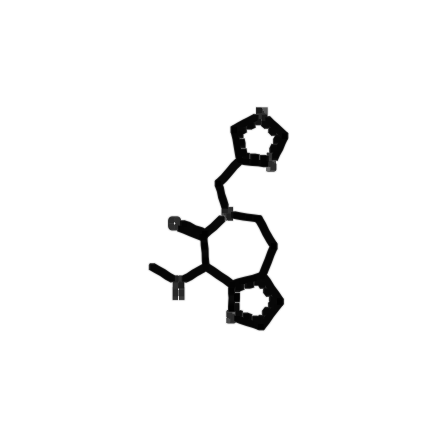 CNC1C(=O)N(Cc2cncs2)CCc2ccsc21